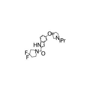 CC(C)N1CC[C@H](Oc2ccc3[nH]c(C(=O)N4CCC(F)(F)CC4)cc3c2)C1